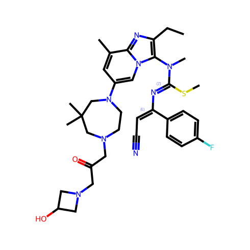 CCc1nc2c(C)cc(N3CCN(CC(=O)CN4CC(O)C4)CC(C)(C)C3)cn2c1N(C)/C(=N/C(=C/C#N)c1ccc(F)cc1)SC